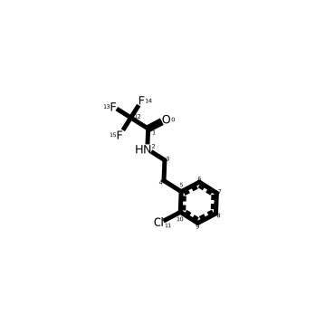 O=C(NCCc1ccccc1Cl)C(F)(F)F